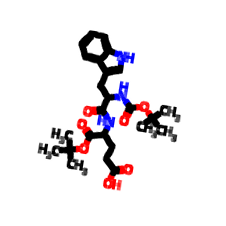 CC(C)(C)OC(=O)NC(Cc1c[nH]c2ccccc12)C(=O)NC(CCC(=O)O)C(=O)OC(C)(C)C